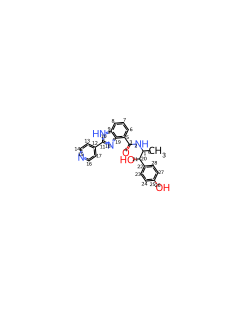 CC(NC(=O)c1cccc2[nH]c(-c3ccncc3)nc12)C(O)c1ccc(O)cc1